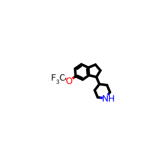 FC(F)(F)Oc1ccc2c(c1)C(C1CCNCC1)CC2